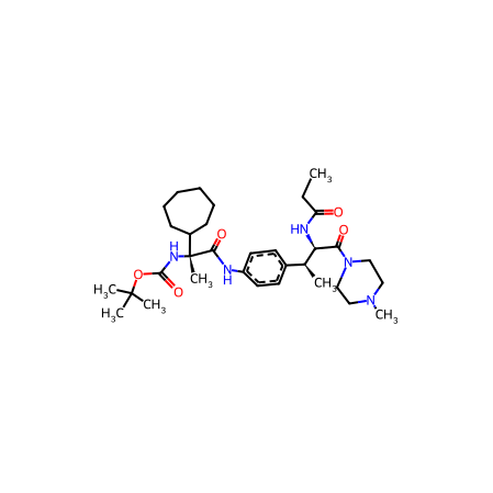 CCC(=O)N[C@@H](C(=O)N1CCN(C)CC1)[C@@H](C)c1ccc(NC(=O)[C@](C)(NC(=O)OC(C)(C)C)C2CCCCCC2)cc1